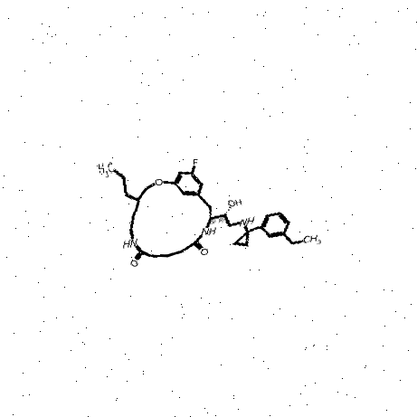 CCCC1CCNC(=O)CCCC(=O)N[C@H]([C@H](O)CNC2(c3cccc(CC)c3)CC2)Cc2cc(F)cc(c2)OC1